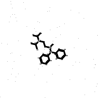 CC(C)N(CCN(C)P(c1ccccc1)c1ccccc1)C(C)C